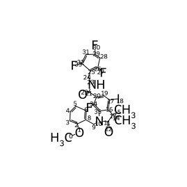 COc1cccc(F)c1CN1C(=O)C(C)(C)c2c(I)cc(C(=O)NCc3c(F)cc(F)cc3F)cc21